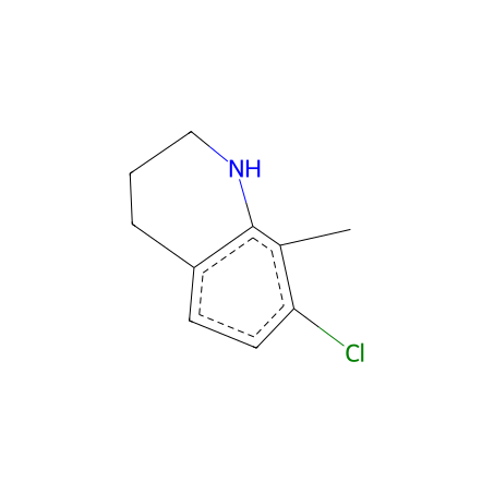 Cc1c(Cl)ccc2c1NCCC2